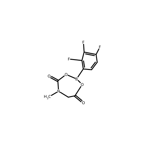 CN1CC(=O)OB(c2ccc(F)c(F)c2F)OC1=O